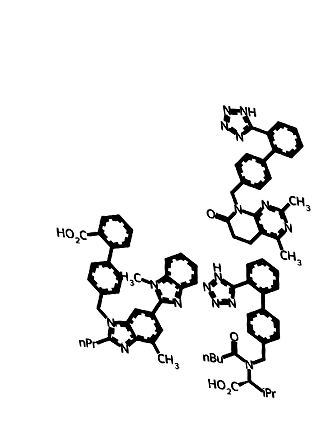 CCCCC(=O)N(Cc1ccc(-c2ccccc2-c2nnn[nH]2)cc1)[C@H](C(=O)O)C(C)C.CCCc1nc2c(C)cc(-c3nc4ccccc4n3C)cc2n1Cc1ccc(-c2ccccc2C(=O)O)cc1.Cc1nc(C)c2c(n1)N(Cc1ccc(-c3ccccc3-c3nnn[nH]3)cc1)C(=O)CC2